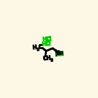 CC(C)[CH2][Sn].Cl.Cl.Cl